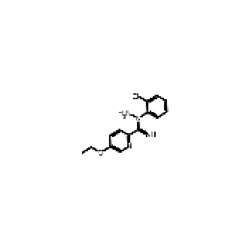 CCOc1ccc(C(=N)N(N)c2ccccc2Cl)nc1